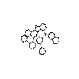 c1ccc(-c2cccc(N(c3ccc4ccccc4c3)c3cccc4oc5c6ccccc6c(-c6ccccc6-c6ccccc6)cc5c34)c2)cc1